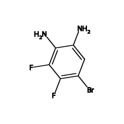 Nc1cc(Br)c(F)c(F)c1N